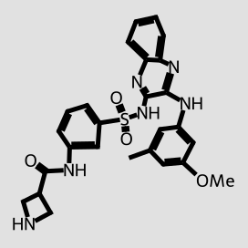 COc1cc(C)cc(Nc2nc3ccccc3nc2NS(=O)(=O)c2cccc(NC(=O)C3CNC3)c2)c1